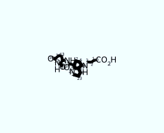 O=C(O)CCCNc1ccc(C(=O)NC2CCC(=O)NC2=O)c2ncccc12